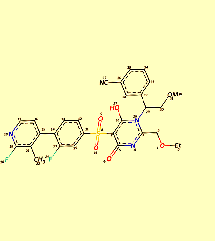 CCOCc1nc(=O)c(S(=O)(=O)c2ccc(-c3ccnc(F)c3C)c(F)c2)c(O)n1C(COC)c1cccc(C#N)c1